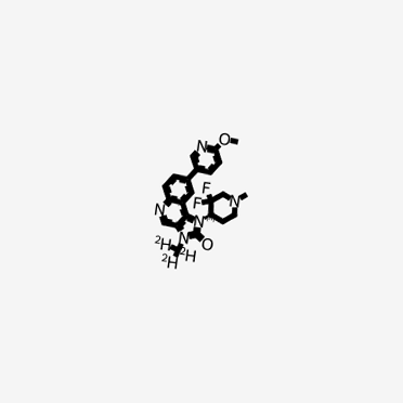 [2H]C([2H])([2H])n1c(=O)n([C@@H]2CCN(C)CC2(F)F)c2c3cc(-c4ccc(OC)nc4)ccc3ncc21